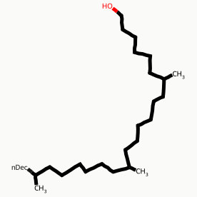 CCCCCCCCCCC(C)CCCCCCC(C)CCCCCCC(C)CCCCCCO